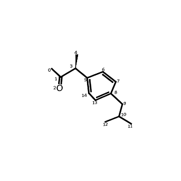 CC(=O)[C@@H](C)c1ccc(CC(C)C)cc1